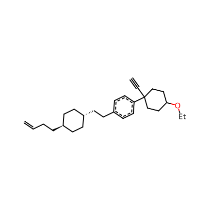 C#CC1(c2ccc(CC[C@H]3CC[C@H](CCC=C)CC3)cc2)CCC(OCC)CC1